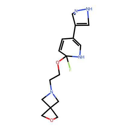 FC1(OCCN2CC3(COC3)C2)C=CC(c2cn[nH]c2)=CN1